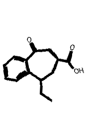 CCC1CC(C(=O)O)CC(=O)c2ccccc21